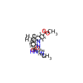 COC(=O)c1ccc2c(c1)CC(C)(C)C(c1cccc(S(=O)(=O)NC3CCN(C)C3)c1)N2